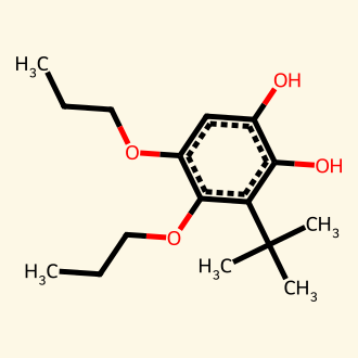 CCCOc1cc(O)c(O)c(C(C)(C)C)c1OCCC